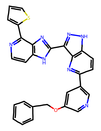 c1ccc(COc2cncc(-c3ccc4[nH]nc(-c5nc6c(-c7cccs7)nccc6[nH]5)c4n3)c2)cc1